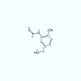 N#Cc1ccc(CO)cc1OP=O